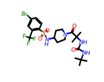 CC(C)(C)NC(=O)NC(C)(C)C(=O)N1CCC(NS(=O)(=O)c2ccc(Br)cc2C(F)(F)F)CC1